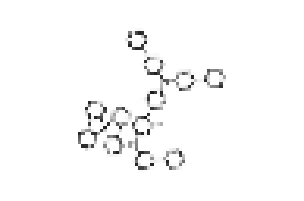 Cc1cc(N(c2ccc(-c3ccccc3)cc2)c2ccc(-c3ccccc3)cc2)ccc1-c1ccc(N(c2cccc(-c3ccccc3)c2)c2cccc3c2-c2ccccc2C32c3ccccc3-c3ccccc32)cc1C